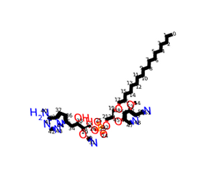 CCCCCCCCCCCCCCCCCCOC[C@H](COP(=O)(O)OC[C@@H](OC#N)[C@@H](O)Cc1ccc2c(N)ncnn12)Oc1cnc(C#N)c(OC)c1